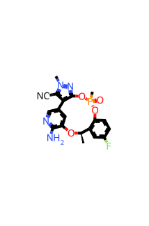 C[C@H]1Oc2cc(cnc2N)-c2c(nn(C)c2C#N)OP(C)(=O)Oc2ccc(F)cc21